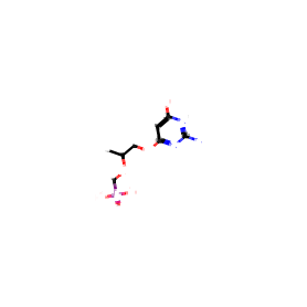 CC(COc1cc(O)nc(N)n1)OCP(=O)(O)O